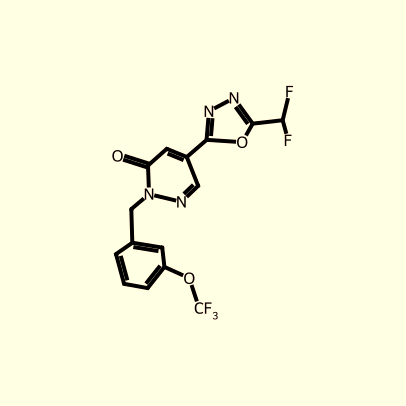 O=c1cc(-c2nnc(C(F)F)o2)cnn1Cc1cccc(OC(F)(F)F)c1